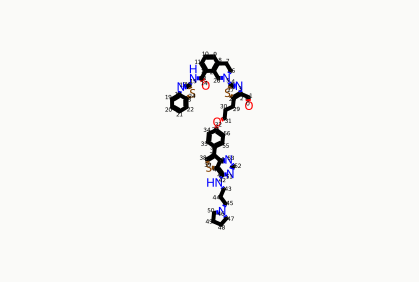 O=Cc1nc(N2CCc3cccc(C(=O)Nc4nc5ccccc5s4)c3C2)sc1CCCOc1ccc(-c2csc3c(NCCCN4CCCC4)ncnc23)cc1